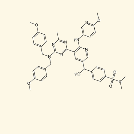 COc1ccc(CN(Cc2ccc(OC)cc2)c2nc(C)nc(-c3cc(C(O)c4ccc(S(=O)(=O)N(C)C)cc4)cnc3Nc3ccc(OC)nc3)n2)cc1